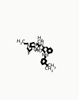 CCCN1C[C@@H](F)C[C@]12CCN([C@@H](C)C(=O)N[C@@H](Cc1ccccc1)[C@H](O)CNCc1cccc(C(C)C)c1)C2=O